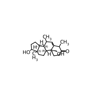 CC1C(=O)CC[C@@]2(CO)C1=CC(C)[C@@H]1[C@H]2CC[C@]2(C)C(O)CC[C@@H]12